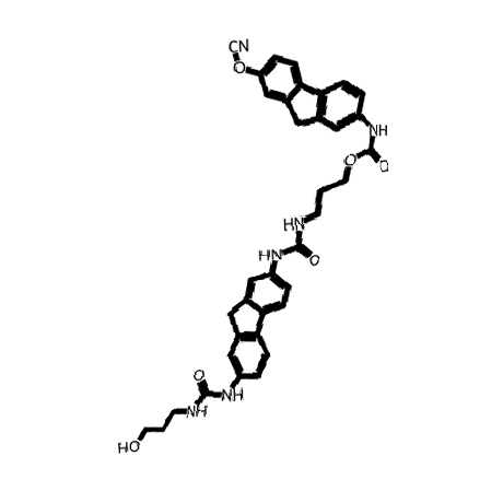 N#COc1ccc2c(c1)Cc1cc(NC(=O)OCCCNC(=O)Nc3ccc4c(c3)Cc3cc(NC(=O)NCCCO)ccc3-4)ccc1-2